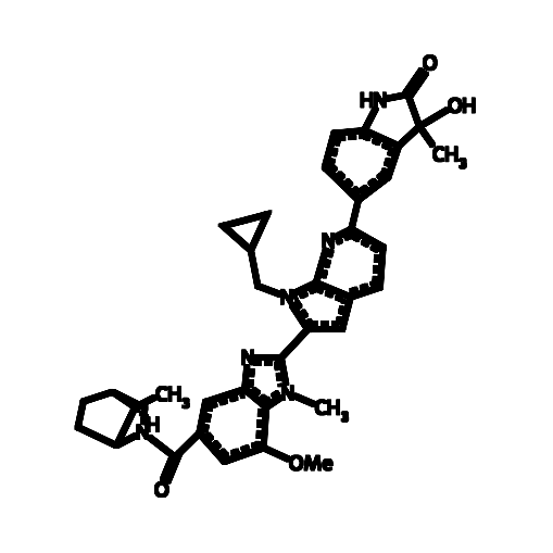 COc1cc(C(=O)N2CC3CCC2[C@@H]3C)cc2nc(-c3cc4ccc(-c5ccc6c(c5)C(C)(O)C(=O)N6)nc4n3CC3CC3)n(C)c12